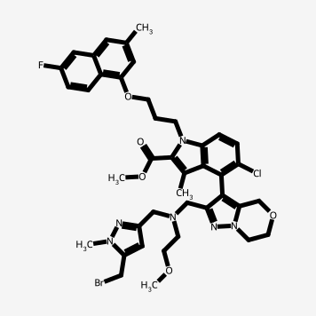 COCCN(Cc1cc(CBr)n(C)n1)Cc1nn2c(c1-c1c(Cl)ccc3c1c(C)c(C(=O)OC)n3CCCOc1cc(C)cc3cc(F)ccc13)COCC2